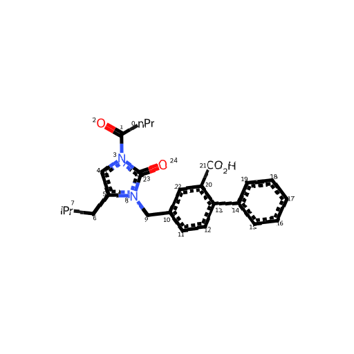 CCCC(=O)n1cc(CC(C)C)n(Cc2ccc(-c3ccccc3)c(C(=O)O)c2)c1=O